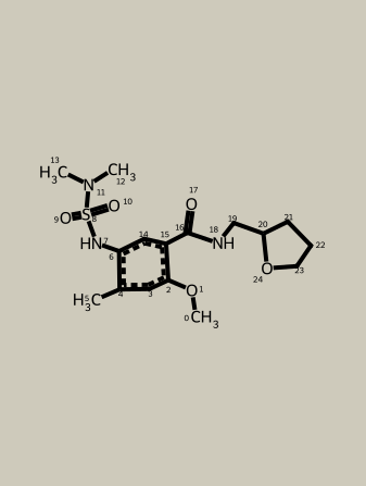 COc1cc(C)c(NS(=O)(=O)N(C)C)cc1C(=O)NCC1CCCO1